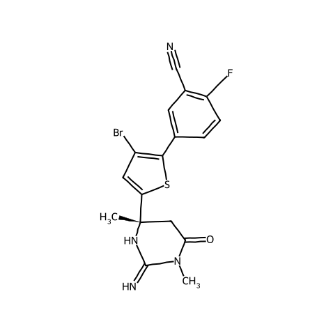 CN1C(=N)N[C@](C)(c2cc(Br)c(-c3ccc(F)c(C#N)c3)s2)CC1=O